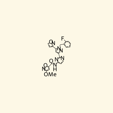 COc1cc(C(=O)Nc2ccnc(-c3cc(-c4ccon4)n(Cc4ccccc4F)n3)n2)on1